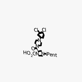 CCCC(C)N1CCN(C(=O)O)[C@@H](C(=O)N2CCN(c3ccc(Cl)c(Cl)c3)CC2)C1